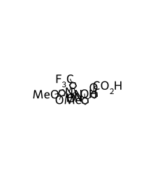 COc1ccc(N2C(=O)C(=NNc3cccc(-c4cccc(OC(=O)O)c4)c3O)c3ccc(C(F)(F)F)cc32)cc1OC